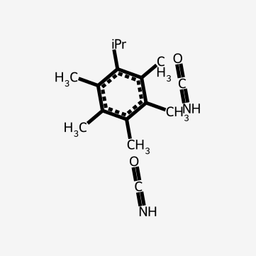 Cc1c(C)c(C)c(C(C)C)c(C)c1C.N=C=O.N=C=O